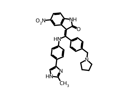 Cc1nc(-c2ccc(NC(=C3C(=O)Nc4ccc([N+](=O)[O-])cc43)c3ccc(CN4CCCC4)cc3)cc2)c[nH]1